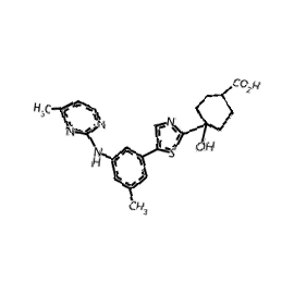 Cc1cc(Nc2nccc(C)n2)cc(-c2cnc(C3(O)CCC(C(=O)O)CC3)s2)c1